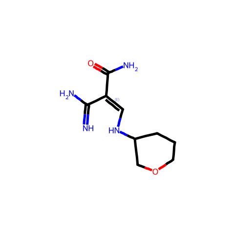 N=C(N)/C(=C\NC1CCCOC1)C(N)=O